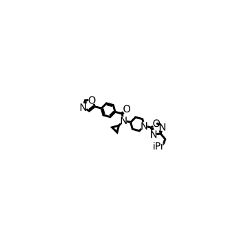 CC(C)Cc1noc(N2CCC(N(C(=O)c3ccc(-c4cnco4)cc3)C3CC3)CC2)n1